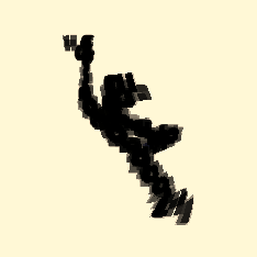 C=CC(=O)OCCCCCCOc1ccc(OC(=O)C2CCC(COc3ccc(C4CCC(C5CCC(CCC)CC5)CC4)cc3/C=N/N(CCOCCOCCOC(=O)C=C)c3nc4ccccc4s3)CC2)cc1